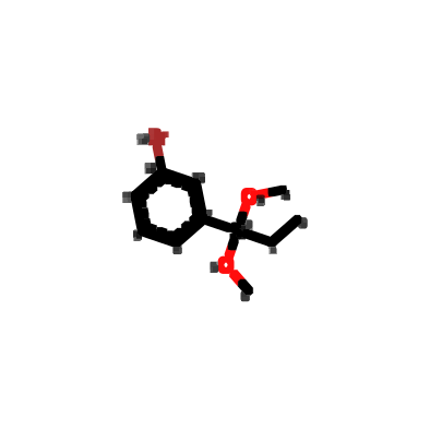 CC[Si](OC)(OC)c1cccc(Br)c1